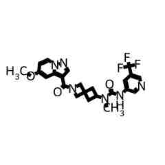 COc1ccn2ncc(C(=O)N3CC4(CC(N(C)C(=O)Nc5cncc(C(F)(F)F)c5)C4)C3)c2c1